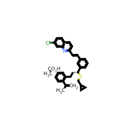 C=C(C)c1ccccc1CC[C@@H](SCC1CC1)c1cccc(/C=C/c2ccc3ccc(Cl)cc3n2)c1.CC(=O)O